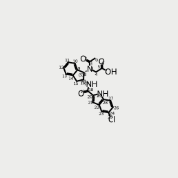 CC(=O)N(CC(=O)O)[C@H]1c2ccccc2C[C@H]1NC(=O)c1cc2cc(Cl)ccc2[nH]1